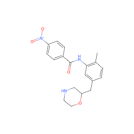 Cc1ccc(CC2CNCCO2)cc1NC(=O)c1ccc([N+](=O)[O-])cc1